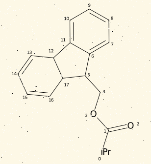 CC(C)C(=O)OCC1c2ccccc2C2C=CC=CC21